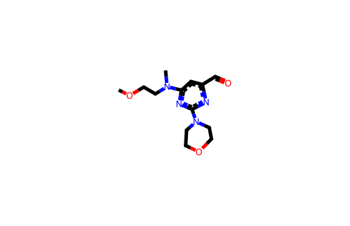 COCCN(C)c1cc(C=O)nc(N2CCOCC2)n1